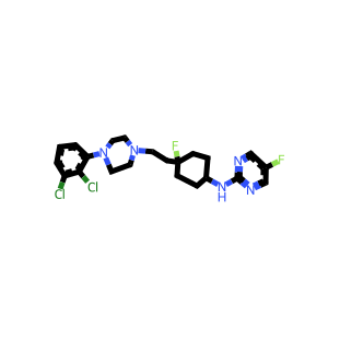 Fc1cnc(NC2CCC(F)(CCN3CCN(c4cccc(Cl)c4Cl)CC3)CC2)nc1